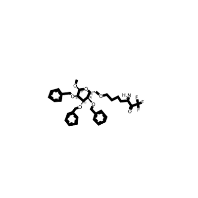 CO[C@H]1O[C@H](COCCCCC(N)C(=O)C(F)(F)F)[C@@H](OCc2ccccc2)[C@H](OCc2ccccc2)[C@H]1OCc1ccccc1